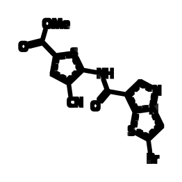 COC(=O)c1cc(C#N)c(NC(=O)c2cnn3cc(Br)sc23)s1